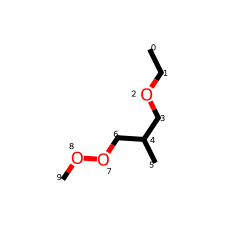 CCOCC(C)COOC